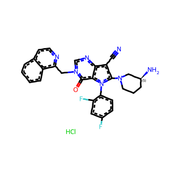 Cl.N#Cc1c(N2CCC[C@H](N)C2)n(-c2ccc(F)cc2F)c2c(=O)n(Cc3nccc4ccccc34)cnc12